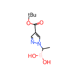 CC(B(O)O)n1cc(C(=O)OC(C)(C)C)cn1